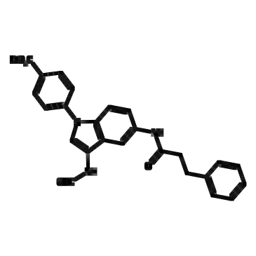 CCOC(=O)c1ccc(-n2cc(NC=O)c3cc(NC(=O)CCc4ccccc4)ccc32)cc1